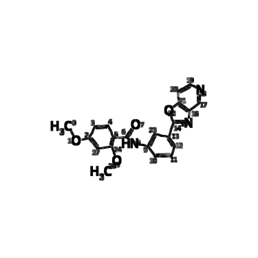 COc1ccc(C(=O)Nc2cccc(-c3nc4cnccc4o3)c2)c(OC)c1